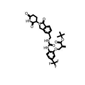 C=C(COc1cc(C(F)(F)F)ccc1NC(=O)NCc1ccc2c(c1)CN(C1CCC(=O)NC1=O)C2=O)C(=O)OC(C)(C)C